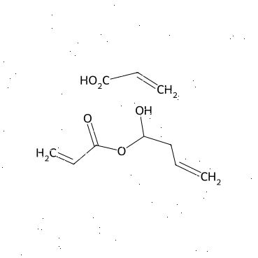 C=CC(=O)O.C=CCC(O)OC(=O)C=C